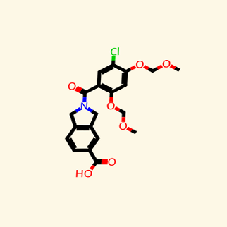 COCOc1cc(OCOC)c(C(=O)N2Cc3ccc(C(=O)O)cc3C2)cc1Cl